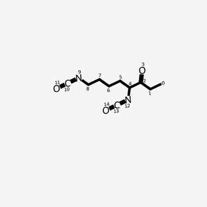 CCC(=O)C(CCCCN=C=O)N=C=O